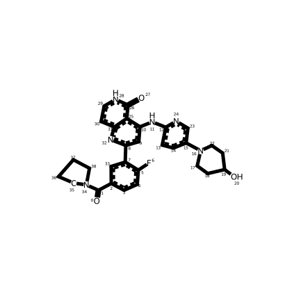 O=C(c1ccc(F)c(-c2cc(Nc3ccc(N4CCC(O)CC4)cn3)c3c(=O)[nH]ccc3n2)c1)N1CCCC1